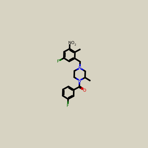 Cc1c(CN2CCN(C(=O)c3cccc(F)c3)C(C)C2)cc(F)cc1[N+](=O)[O-]